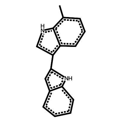 Cc1cccc2c(-c3cc4ccccc4[nH]3)c[nH]c12